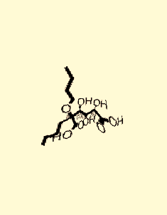 CCCCO[C@@](CCCC)(C(=O)O)[C@@H](O)[C@H](O)[C@H](O)C(=O)O